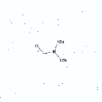 CCCCN(C[O])CCCC